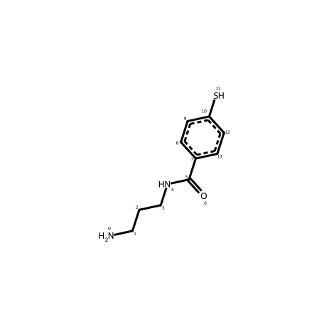 NCCCNC(=O)c1ccc(S)cc1